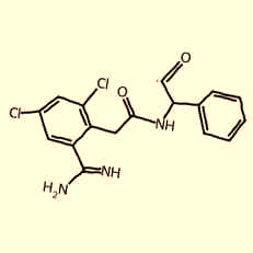 N=C(N)c1cc(Cl)cc(Cl)c1CC(=O)NC([C]=O)c1ccccc1